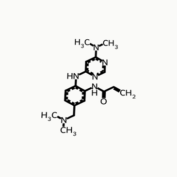 C=CC(=O)Nc1cc(CN(C)C)ccc1Nc1cc(N(C)C)ncn1